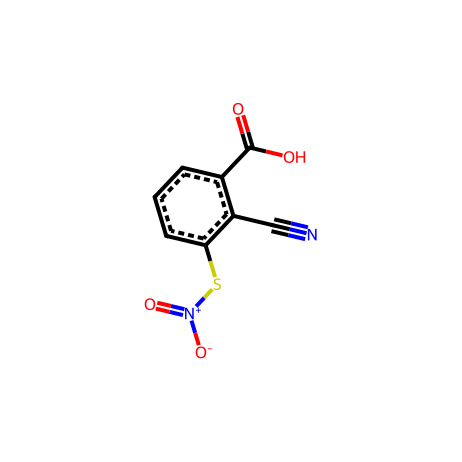 N#Cc1c(S[N+](=O)[O-])cccc1C(=O)O